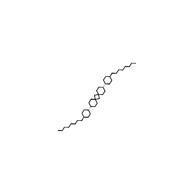 CCCCCCCC[C@H]1CC[C@H](C2CCC3(CC2)CC2(CCC([C@H]4CC[C@H](CCCCCCCC)CC4)CC2)C3)CC1